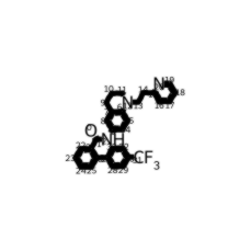 O=C(Nc1ccc2c(c1)CCCN2CCc1ccccn1)c1ccccc1-c1ccc(C(F)(F)F)cc1